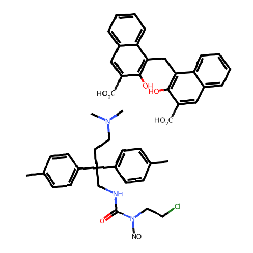 Cc1ccc(C(CCN(C)C)(CNC(=O)N(CCCl)N=O)c2ccc(C)cc2)cc1.O=C(O)c1cc2ccccc2c(Cc2c(O)c(C(=O)O)cc3ccccc23)c1O